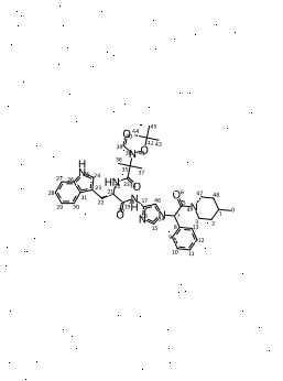 CC1CCN(C(=O)C(c2ccccc2)n2cnc(NC(=O)[C@@H](Cc3c[nH]c4ccccc34)NC(=O)C(C)(C)N(C=O)OC(C)(C)C)c2)CC1